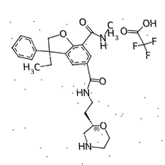 CCC1(c2ccccc2)COc2c(C(=O)NC)cc(C(=O)NCC[C@@H]3CNCCO3)cc21.O=C(O)C(F)(F)F